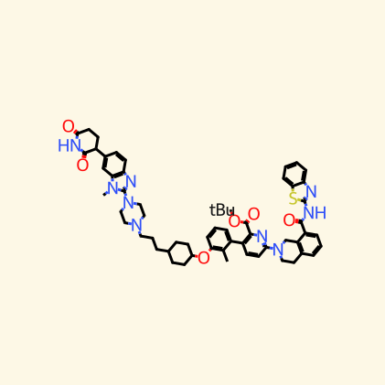 Cc1c(OC2CCC(CCCN3CCN(c4nc5ccc(C6CCC(=O)NC6=O)cc5n4C)CC3)CC2)cccc1-c1ccc(N2CCc3cccc(C(=O)Nc4nc5ccccc5s4)c3C2)nc1C(=O)OC(C)(C)C